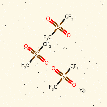 O=S(=O)(C(F)(F)F)C(F)(F)F.O=S(=O)(C(F)(F)F)C(F)(F)F.O=S(=O)(C(F)(F)F)C(F)(F)F.[Yb]